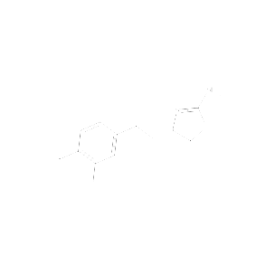 C[C@H]1OC(N)=N[C@H]1CCc1ccc(Cl)c(Cl)c1